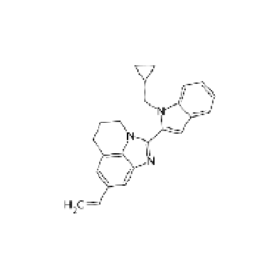 C=Cc1cc2c3c(c1)nc(-c1cc4ccccc4n1CC1CC1)n3CCC2